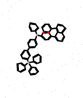 c1ccc(-c2cccc3cccc(-c4ccc(N(c5ccccc5)c5ccc(-c6cccc(S(c7ccccc7)(c7ccccc7)c7ccccc7)c6)cc5)cc4)c23)cc1